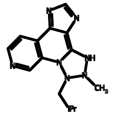 CC(C)CN1N(C)Nc2c3ncnc-3c3ccncc3n21